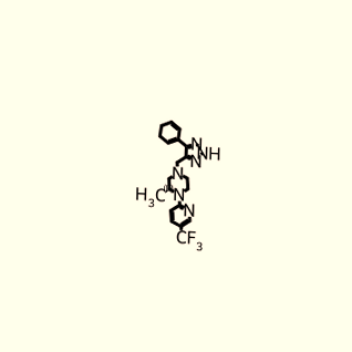 C[C@@H]1CN(Cc2n[nH]nc2C2=CCCC=C2)CCN1c1ccc(C(F)(F)F)cn1